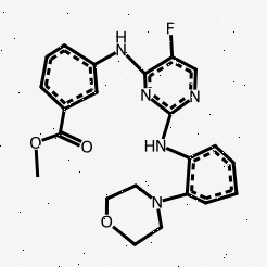 COC(=O)c1cccc(Nc2nc(Nc3ccccc3N3CCOCC3)ncc2F)c1